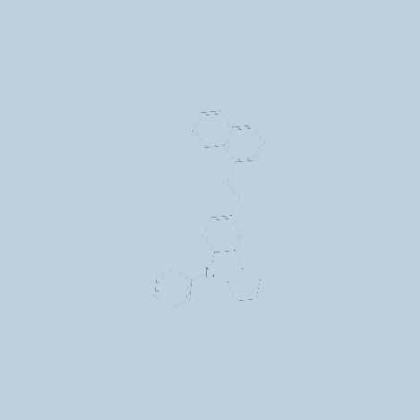 C(=C\c1cccc2ccccc12)/c1ccc2c(c1)C1CCCC1N2c1ccccc1